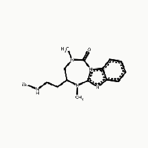 CCC(C)NCCC1CN(C)C(=O)n2c(nc3ccccc32)N1C